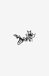 O=C(NCCN1CCCC1)c1cccc(CNc2ccc3c(Cl)n[nH]c(=O)c3c2)c1